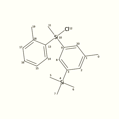 Cc1cc([Si](C)(C)C)cc([Si](C)(Cl)c2ccccc2C)c1